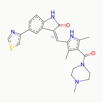 Cc1[nH]c(/C=C2\C(=O)Nc3ccc(-c4cscn4)cc32)c(C)c1C(=O)N1CCN(C)CC1